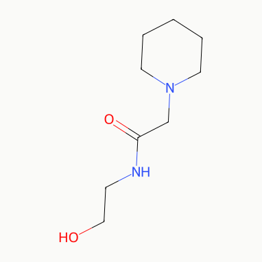 O=C(CN1CCCCC1)NCCO